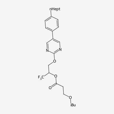 CCCCCCCc1ccc(-c2cnc(OCC(OC(=O)CCOC(C)CC)C(F)(F)F)nc2)cc1